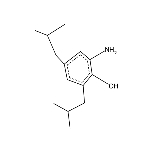 CC(C)Cc1cc(N)c(O)c(CC(C)C)c1